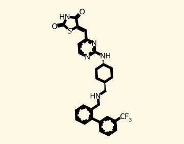 O=C1NC(=O)/C(=C/c2ccnc(N[C@H]3CC[C@H](CNCc4ccccc4-c4cccc(C(F)(F)F)c4)CC3)n2)S1